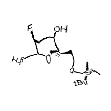 BC1O[C@H](CO[Si](C)(C)C(C)(C)C)C(O)C1F